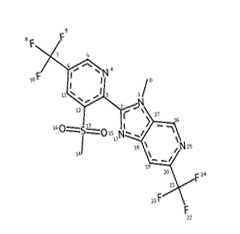 Cn1c(-c2ncc(C(F)(F)F)cc2S(C)(=O)=O)nc2cc(C(F)(F)F)ncc21